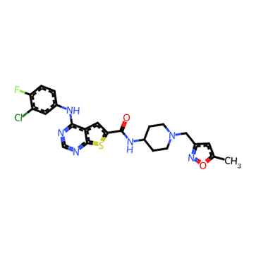 Cc1cc(CN2CCC(NC(=O)c3cc4c(Nc5ccc(F)c(Cl)c5)ncnc4s3)CC2)no1